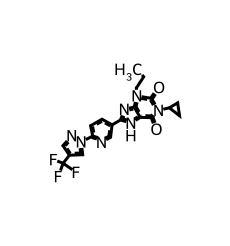 CCCn1c(=O)n(C2CC2)c(=O)c2[nH]c(-c3ccc(-n4cc(C(F)(F)F)cn4)nc3)nc21